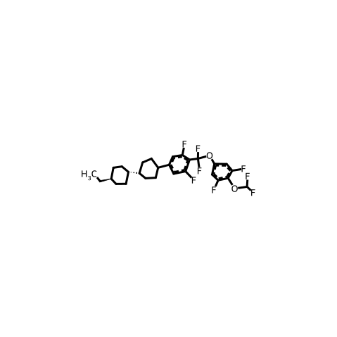 CC[C@H]1CC[C@H](C2CCC(c3cc(F)c(C(F)(F)Oc4cc(F)c(OC(F)F)c(F)c4)c(F)c3)CC2)CC1